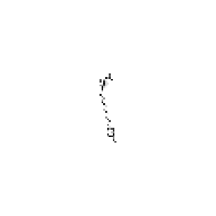 CCCOCCCCCCCCCCC#C[Si](C)(C)CC(C)C